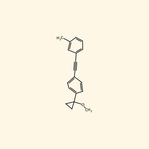 COC1(c2ccc(C#Cc3cc[c]c(C)c3)cc2)CC1